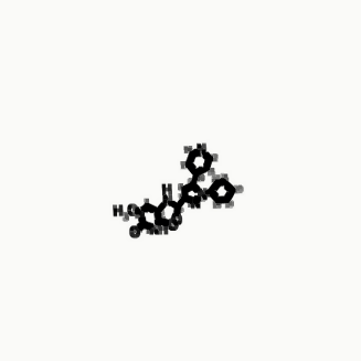 Cn1cc(NC(=O)c2cc(-c3ccncc3)n(-c3ccccc3)n2)c(=O)[nH]c1=O